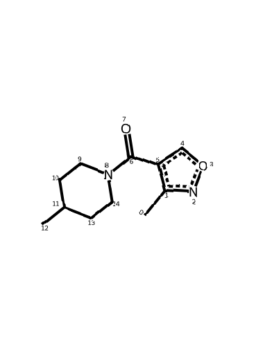 Cc1nocc1C(=O)N1CCC(C)CC1